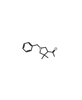 CC(=O)C1CN(Cc2ccccc2)CC1(C)C